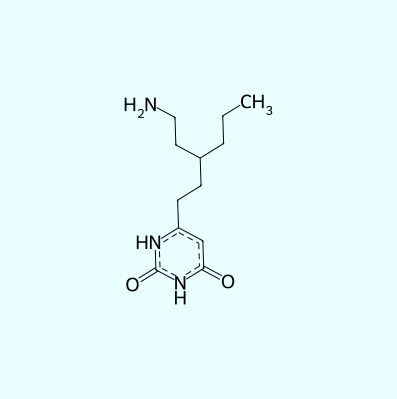 CCCC(CCN)CCc1cc(=O)[nH]c(=O)[nH]1